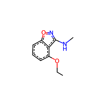 CCOc1cccc2onc(NC)c12